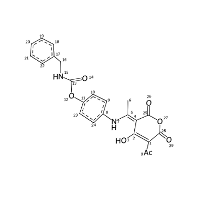 CC(=O)C1=C(O)C(=C(C)Nc2ccc(OC(=O)NCc3ccccc3)cc2)C(=O)OC1=O